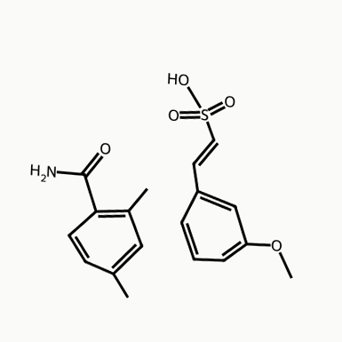 COc1cccc(/C=C/S(=O)(=O)O)c1.Cc1ccc(C(N)=O)c(C)c1